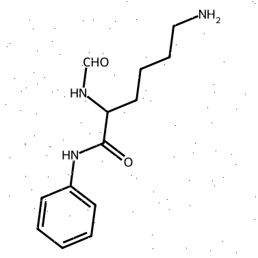 NCCCCC(NC=O)C(=O)Nc1ccccc1